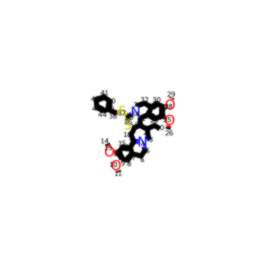 CCC1CN2CCc3cc(OC)c(OC)cc3C2CCC1C1c2cc(OC)c(OC)cc2CCN1C(=S)SCc1ccccc1